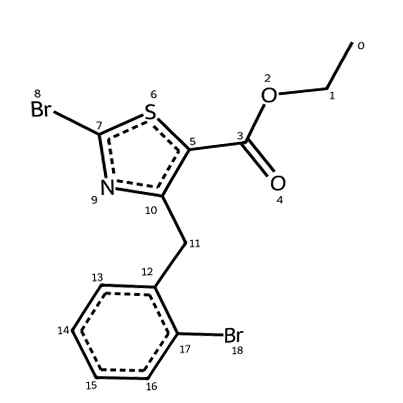 CCOC(=O)c1sc(Br)nc1Cc1ccccc1Br